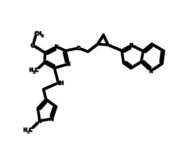 COc1nc(OCC2CC2c2ccc3ncccc3n2)nc(NCc2cnn(C)c2)c1C